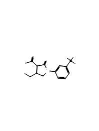 CCC1CN(c2cccc(C(F)(F)F)c2)C(=O)C1C(=O)Cl